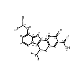 CC(C)C1Cc2cc(C(=O)O)c(=O)[nH]c2-c2nc3c(OC(F)F)cccn3c21